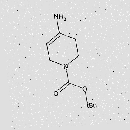 CC(C)(C)OC(=O)N1CC=C(N)CC1